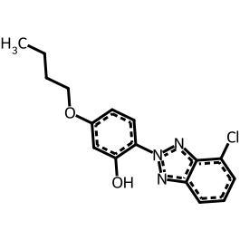 CCCCOc1ccc(-n2nc3cccc(Cl)c3n2)c(O)c1